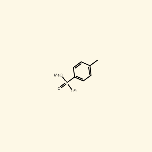 CCCP(=O)(OC)c1ccc(C)cc1